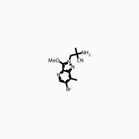 COc1c2ncc(Br)c(C)c2nn1CC(C)(N)C#N